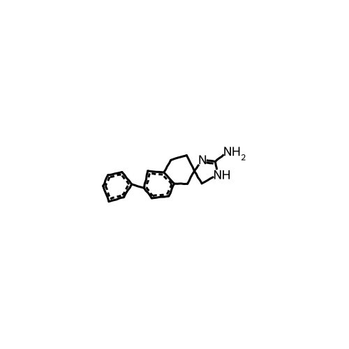 NC1=NC2(CCc3cc(-c4ccccc4)ccc3C2)CN1